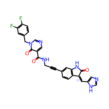 O=C1Nc2cc(C#CCNC(=O)c3cncn(Cc4ccc(F)c(F)c4)c3=O)ccc2/C1=C/c1cnc[nH]1